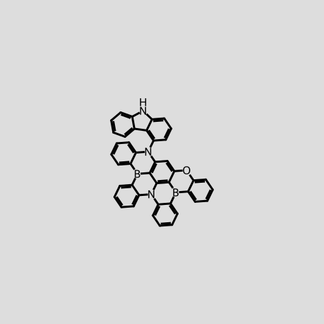 c1ccc2c(c1)Oc1cc3c4c5c1B2c1ccccc1N5c1ccccc1B4c1ccccc1N3c1cccc2[nH]c3ccccc3c12